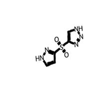 O=S(=O)(c1c[nH]nn1)c1cc[nH]n1